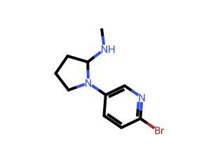 CNC1CCCN1c1ccc(Br)nc1